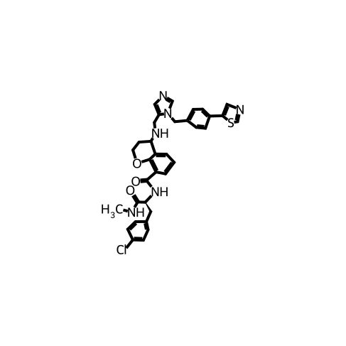 CNC(=O)[C@H](Cc1ccc(Cl)cc1)NC(=O)c1cccc2c1OCCC2NCc1cncn1Cc1ccc(-c2cncs2)cc1